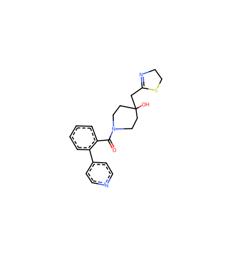 O=C(c1ccccc1-c1ccncc1)N1CCC(O)(CC2=NCCS2)CC1